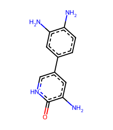 Nc1ccc(-c2c[nH]c(=O)c(N)c2)cc1N